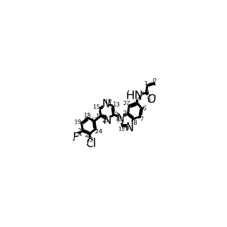 C=CC(=O)Nc1ccc2ncn(-c3cncc(-c4ccc(F)c(Cl)c4)n3)c2c1